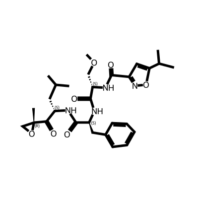 COC[C@H](NC(=O)c1cc(C(C)C)on1)C(=O)N[C@@H](Cc1ccccc1)C(=O)N[C@@H](CC(C)C)C(=O)[C@@]1(C)CO1